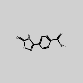 NC(=O)c1ccc(-c2noc(=O)[nH]2)cc1